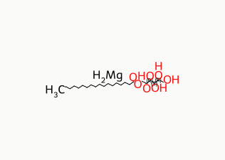 CCCCCCCCCCCCCCCCCC(=O)OCC(=O)[C@H](O)[C@@H](O)[C@H](O)CO.[MgH2]